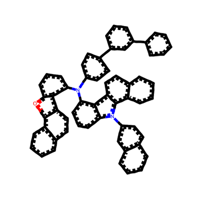 c1ccc(-c2cccc(-c3ccc(N(c4cccc5oc6c7ccccc7ccc6c45)c4cccc5c4c4ccc6ccccc6c4n5-c4ccc5ccccc5c4)cc3)c2)cc1